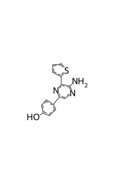 Nc1ncc(-c2ccc(O)cc2)nc1-c1cccs1